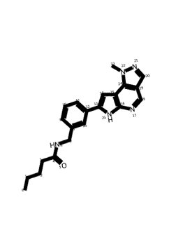 CCCCC(=O)NCc1cccc(-c2cc3c(ncc4cnn(C)c43)[nH]2)c1